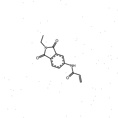 C=CC(=O)Nc1ccc2c(c1)C(=O)N(CC)C2=O